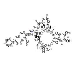 CC[C@H]1OC(=O)[C@H](C)[C@@H](O[C@H]2C[C@@](C)(OC)[C@@H](O)[C@H](C)O2)[C@H](C)[C@@H](O[C@@H]2O[C@H](C)C[C@H](N(C)CC/C(=C/N[C@H](CF)[C@H](OC)c3ccc(-c4cncnc4)cc3)NN)[C@H]2O)[C@](C)(O)C[C@@H](C)CN(C)[C@H](C)[C@@H](O)[C@]1(C)O